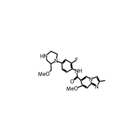 COCC1CNCCN1c1ccc(NC(=O)c2cn3cc(C)nc3cc2OC)c(F)c1